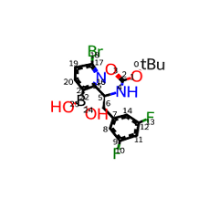 CC(C)(C)OC(=O)N[C@@H](Cc1cc(F)cc(F)c1)c1nc(Br)ccc1B(O)O